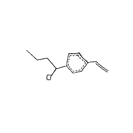 C=Cc1ccc(C(Cl)CCC)cc1